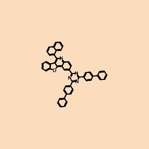 c1ccc(-c2ccc(-c3nc(-c4ccc(-c5ccccc5)cc4)nc(-c4ccc5nc(-c6cccc7ccccc67)c6c7ccccc7oc6c5c4)n3)cc2)cc1